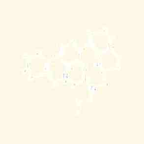 CCCN(CC1CCc2ccccc2C1)C(=O)CN(Cc1ccccc1)c1ccccc1